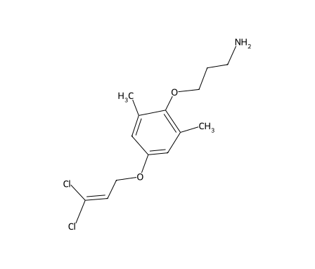 Cc1cc(OCC=C(Cl)Cl)cc(C)c1OCCCN